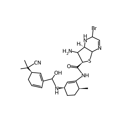 C[C@H]1CC[C@@H](NC(O)C2=C[C@H](C(C)(C)C#N)CC=C2)C=C1NC(=O)[C@@H]1SC2N=CC(Br)N[C@@H]2C1N